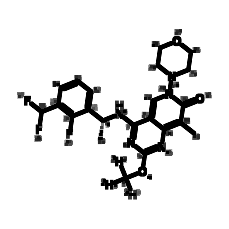 [2H]C([2H])([2H])Oc1nc(N[C@H](C)c2cccc(C(F)F)c2F)c2cn(N3CCOCC3)c(=O)c(C)c2n1